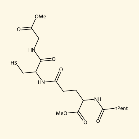 CCCCCC(=O)NC(CCC(=O)NC(CS)C(=O)NCC(=O)OC)C(=O)OC